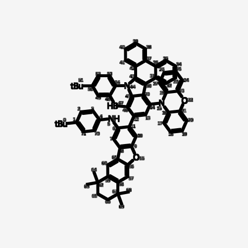 CC(C)(C)c1ccc(Nc2cc3c(cc2-c2cc(N4c5ccccc5Oc5ccccc54)c4c5c6ccccc6c6ccccc6c5n5c4c2Bc2cc(C(C)(C)C)ccc2-5)oc2cc4c(cc23)C(C)(C)CCC4(C)C)cc1